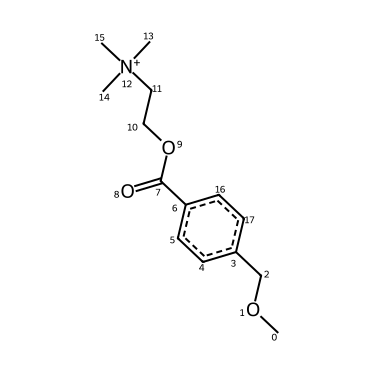 COCc1ccc(C(=O)OCC[N+](C)(C)C)cc1